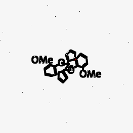 COc1ccccc1[O][Zr]([O]c1ccccc1OC)([C]1=CC=CC1)[C]1=CC=CC1